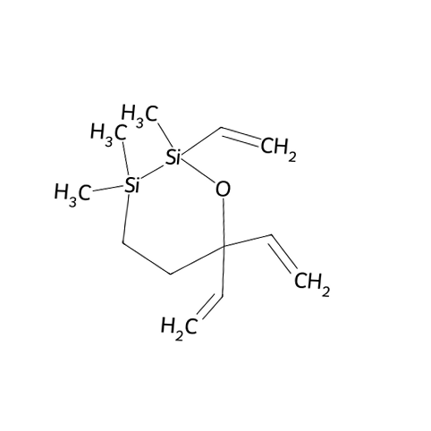 C=CC1(C=C)CC[Si](C)(C)[Si](C)(C=C)O1